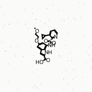 COCCOc1cc(NS(=O)(=O)c2ncccc2C2CC2)c2[nH]c(C(=O)O)cc2c1